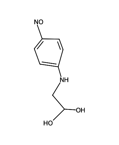 O=Nc1ccc(NCC(O)O)cc1